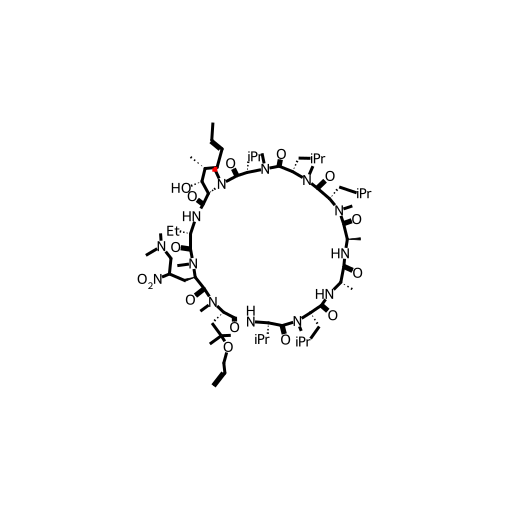 C=CCOC(C)(C)C[C@H]1C(=O)N[C@@H](C(C)C)C(=O)N(C)[C@@H](CC(C)C)C(=O)N[C@@H](C)C(=O)N[C@H](C)C(=O)N(C)[C@@H](CC(C)C)C(=O)N(C)[C@@H](CC(C)C)C(=O)N(C)[C@@H](C(C)C)C(=O)N(C)[C@@H]([C@H](O)[C@H](C)C/C=C/C)C(=O)N[C@@H](CC)C(=O)N(C)[C@H](CC(CN(C)C)[N+](=O)[O-])C(=O)N1C